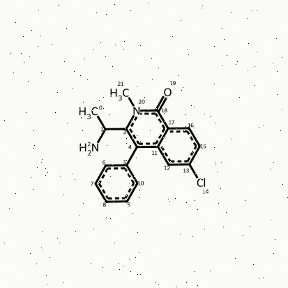 CC(N)c1c(-c2ccccc2)c2cc(Cl)ccc2c(=O)n1C